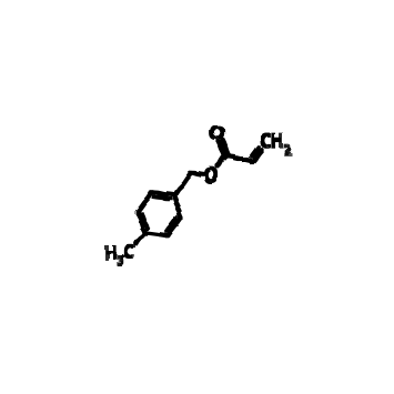 C=CC(=O)OCc1ccc(C)cc1